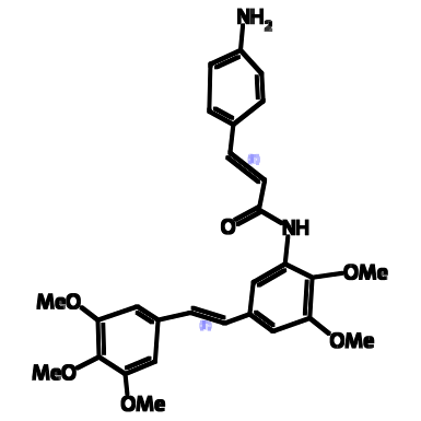 COc1cc(/C=C/c2cc(OC)c(OC)c(OC)c2)cc(NC(=O)/C=C/c2ccc(N)cc2)c1OC